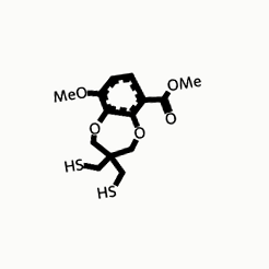 COC(=O)c1ccc(OC)c2c1OCC(CS)(CS)CO2